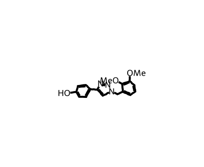 COc1cccc(Cn2cc(-c3ccc(O)cc3)nn2)c1OC